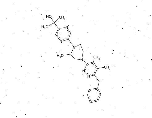 Cc1c(Cc2ccccc2)nnc(N2CCN(c3cnc(C(C)(C)O)cn3)C(C)C2)c1C